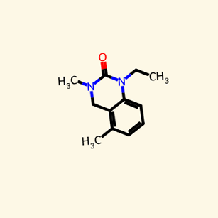 CCN1C(=O)N(C)Cc2c(C)cccc21